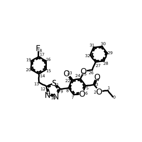 CCOC(=O)c1occ(-c2nnc(Cc3ccc(F)cc3)s2)c(=O)c1OCc1ccccc1